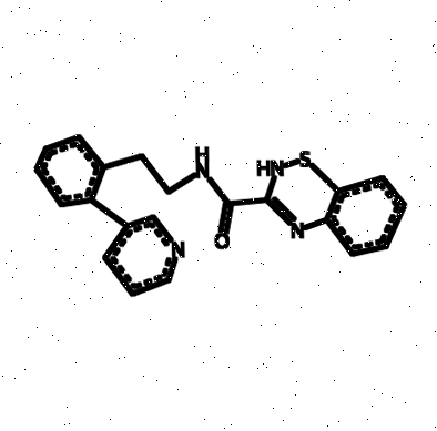 O=C(NCCc1ccccc1-c1cccnc1)C1=Nc2ccccc2SN1